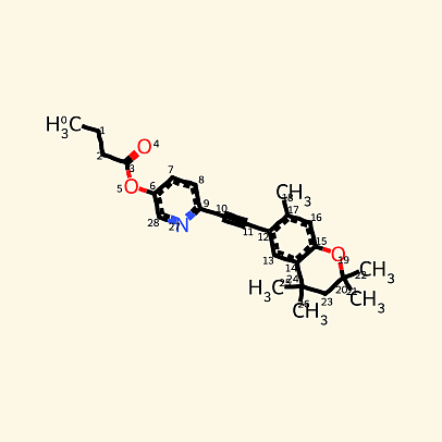 CCCC(=O)Oc1ccc(C#Cc2cc3c(cc2C)OC(C)(C)CC3(C)C)nc1